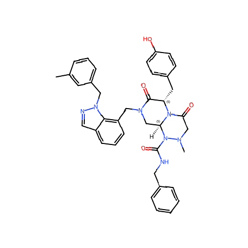 Cc1cccc(Cn2ncc3cccc(CN4C[C@H]5N(C(=O)CN(C)N5C(=O)NCc5ccccc5)[C@@H](Cc5ccc(O)cc5)C4=O)c32)c1